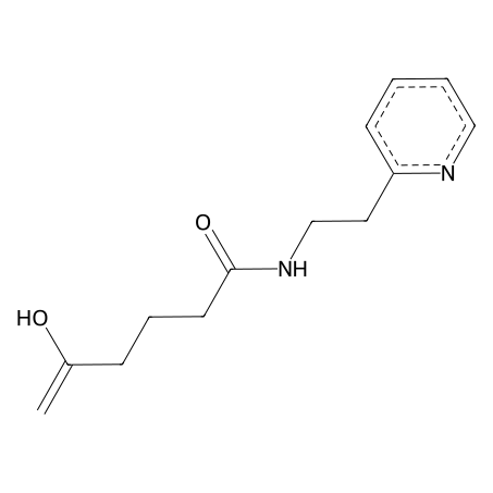 C=C(O)CCCC(=O)NCCc1ccccn1